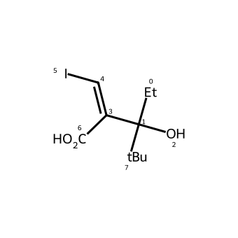 CCC(O)(C(=CI)C(=O)O)C(C)(C)C